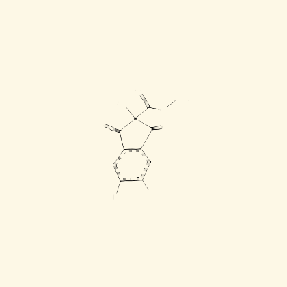 CC(=O)C1(C(=O)OC(C)(C)C)C(=O)c2cc(F)c(F)cc2C1=O